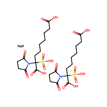 O=C(O)CCCCCCC(C(=O)O)(N1C(=O)CCC1=O)S(=O)(=O)O.O=C(O)CCCCCCC(C(=O)O)(N1C(=O)CCC1=O)S(=O)(=O)O.[NaH]